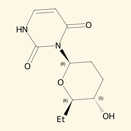 CC[C@H]1O[C@@H](n2c(=O)cc[nH]c2=O)CC[C@@H]1O